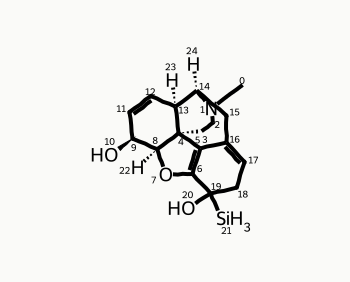 CN1CC[C@]23C4=C5O[C@H]2[C@@H](O)C=C[C@H]3[C@H]1CC4=CCC5(O)[SiH3]